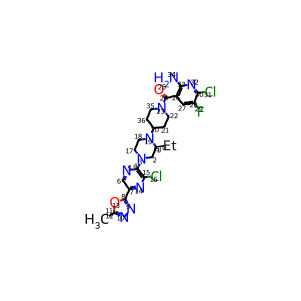 CC[C@H]1CN(c2ncc(-c3nnc(C)o3)nc2Cl)CCN1C1CCN(C(=O)c2cc(F)c(Cl)nc2N)CC1